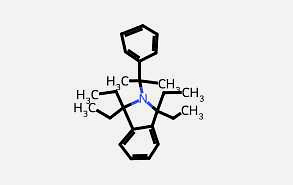 CCC1(CC)c2ccccc2C(CC)(CC)N1C(C)(C)c1ccccc1